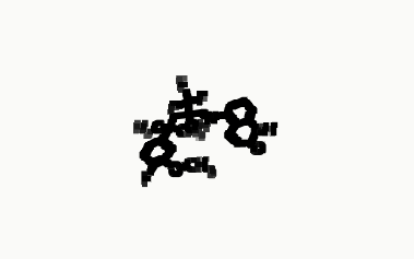 COc1cc(C(C)(C)CC(O)(/C=N/c2cccc3[nH]c(=O)ccc23)C(F)(F)F)ccc1F